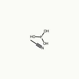 CC#N.OP(O)O